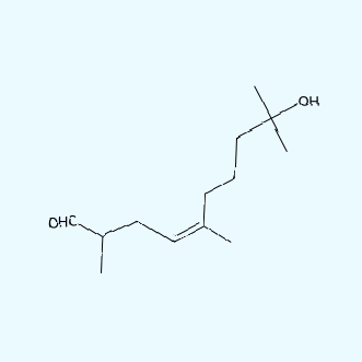 CC(=CCC(C)C=O)CCCC(C)(C)O